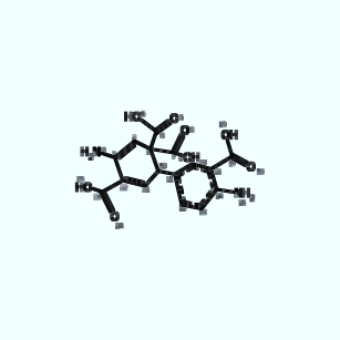 NC1=CC(C(=O)O)(C(=O)O)C(c2ccc(N)c(C(=O)O)c2)C=C1C(=O)O